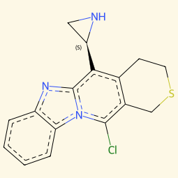 Clc1c2c(c([C@H]3CN3)c3nc4ccccc4n13)CCSC2